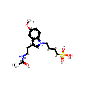 COc1ccc2c(c1)c(CCNC(C)=O)cn2CCCCS(=O)(=O)O